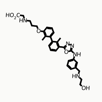 Cc1c(OCCCNCC(=O)O)cccc1-c1cccc(-c2nnc(Nc3cccc(CNCCO)c3)o2)c1C